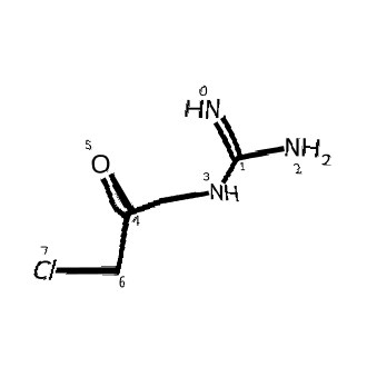 N=C(N)NC(=O)CCl